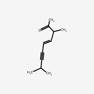 CC(=O)C(C)/C=C/C#CC(C)C